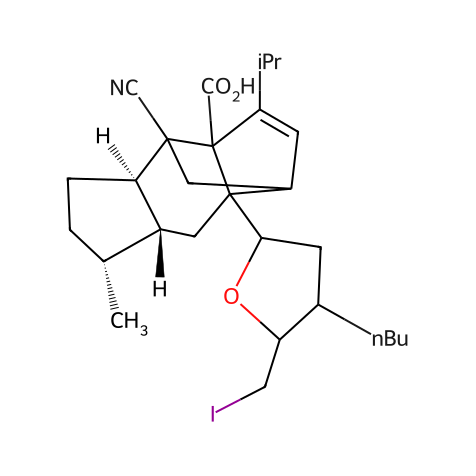 CCCCC1CC(C23C[C@@H]4[C@H](C)CC[C@H]4C4(C#N)CC2C=C(C(C)C)C34C(=O)O)OC1CI